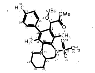 COC(=O)[C@@H](OC(C)(C)C)c1c(C)c2c(c(C)c1-c1ccc(C)cc1)N1CCCCC1CN2S(C)(=O)=O